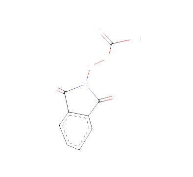 O=C(O)OON1C(=O)c2ccccc2C1=O